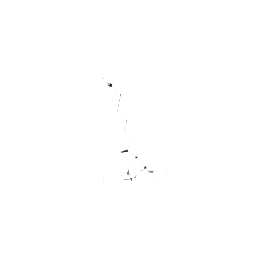 CC(C)(C)CC(C)(C(=O)OCCCCC#N)C(C)(C)C